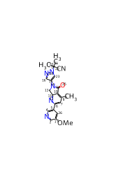 COc1cncc(-c2cc(C)c3c(n2)CN(c2cnn(C(C)(C)C#N)c2)C3=O)c1